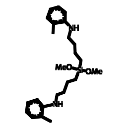 CO[Si](CCCCNc1ccccc1C)(CCCCNc1ccccc1C)OC